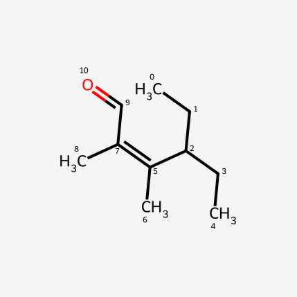 CCC(CC)C(C)=C(C)C=O